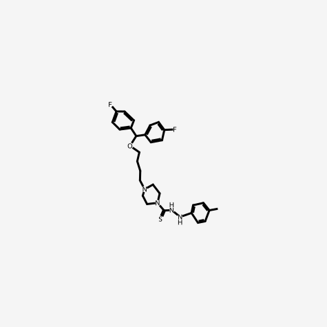 Cc1ccc(NNC(=S)N2CCN(CCCCOC(c3ccc(F)cc3)c3ccc(F)cc3)CC2)cc1